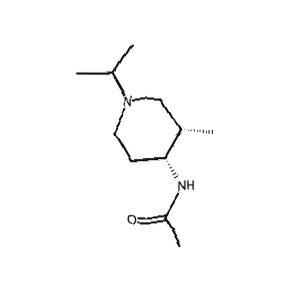 CC(=O)N[C@@H]1CCN(C(C)C)C[C@@H]1C